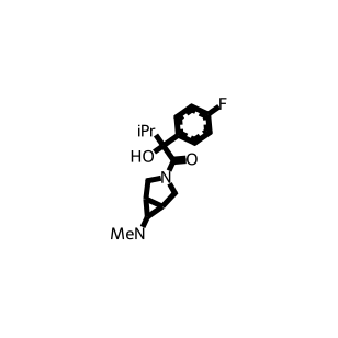 CNC1C2CN(C(=O)C(O)(c3ccc(F)cc3)C(C)C)CC21